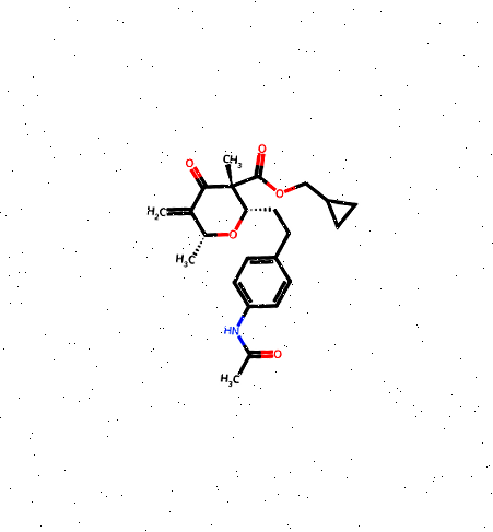 C=C1C(=O)[C@](C)(C(=O)OCC2CC2)[C@H](CCc2ccc(NC(C)=O)cc2)O[C@@H]1C